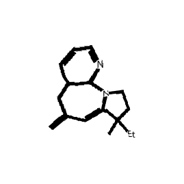 C=C1C=C2N(CCC2(C)CC)C2N=CC=CC2C1